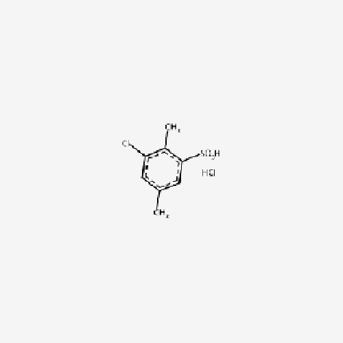 Cc1cc(Cl)c(C)c(S(=O)(=O)O)c1.Cl